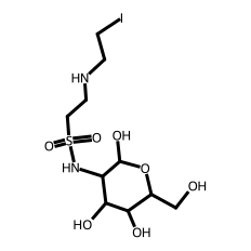 O=S(=O)(CCNCCI)NC1C(O)OC(CO)C(O)C1O